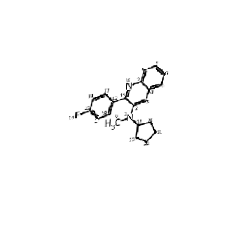 CN(c1cc2ccccc2nc1-c1ccc(F)cc1)C1CCCC1